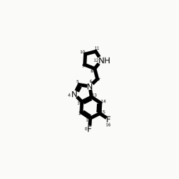 Fc1cc2ncn(CC3CCCN3)c2cc1F